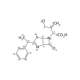 C=C(CCl)C(C(=O)O)N1C(=O)C2N=C(C(C)c3ccccc3)SC21